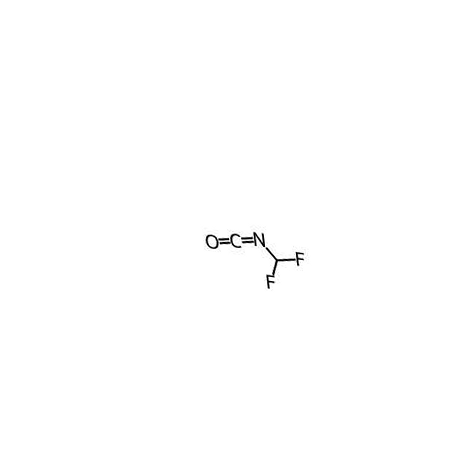 O=C=NC(F)F